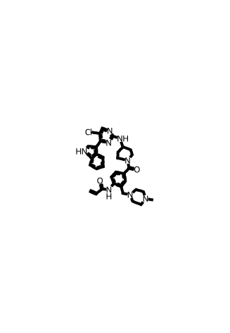 C=CC(=O)Nc1ccc(C(=O)N2CCC(Nc3ncc(Cl)c(-c4c[nH]c5ccccc45)n3)CC2)cc1CN1CCN(C)CC1